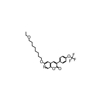 CCOCCCCCCCCOc1cc2cc(-c3ccc(OC(F)(F)F)cc3)c(=O)oc2cn1